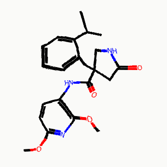 COc1ccc(NC(=O)C2(c3ccccc3C(C)C)CNC(=O)C2)c(OC)n1